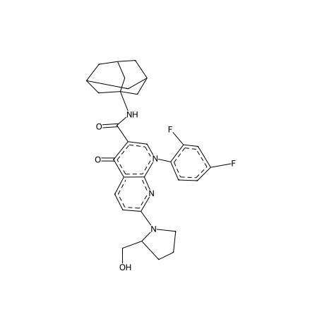 O=C(NC12CC3CC(CC(C3)C1)C2)c1cn(-c2ccc(F)cc2F)c2nc(N3CCCC3CO)ccc2c1=O